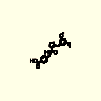 COc1cc(CC2=C(C(=O)NCc3ccc(C(=O)O)cc3)CCC2)cc(OC)c1